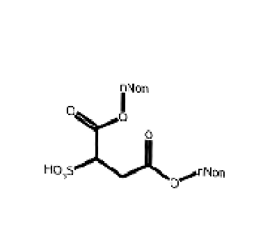 CCCCCCCCCOC(=O)CC(C(=O)OCCCCCCCCC)S(=O)(=O)O